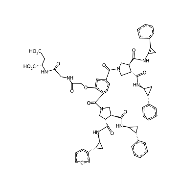 O=C(O)C[C@H](NC(=O)CNC(=O)COc1cc(C(=O)N2C[C@@H](C(=O)NC3=C(c4ccccc4)C3)[C@H](C(=O)N[C@H]3C[C@@H]3c3ccccc3)C2)ccc1C(=O)N1C[C@@H](C(=O)N[C@H]2C[C@@H]2c2ccccc2)[C@H](C(=O)N[C@H]2C[C@@H]2c2ccccc2)C1)C(=O)O